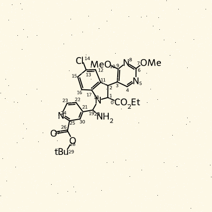 CCOC(=O)C1C(c2cnc(OC)nc2OC)c2cc(Cl)ccc2N1C(N)c1ccnc(C(=O)OC(C)(C)C)c1